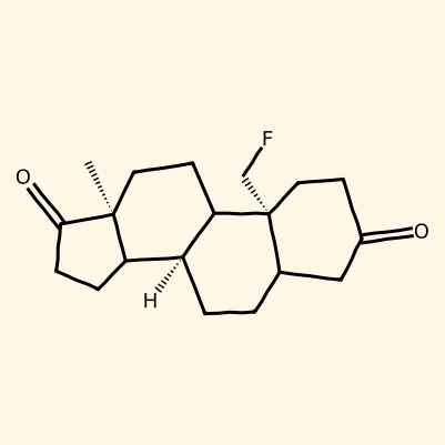 C[C@]12CCC3[C@@H](CCC4CC(=O)CC[C@@]43CF)C1CCC2=O